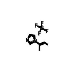 CC=C(C)n1ccnc1.F[B-](F)(F)F